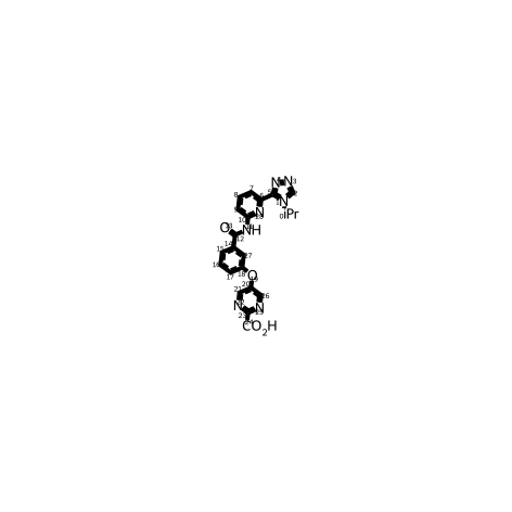 CC(C)n1cnnc1-c1cccc(NC(=O)c2cccc(Oc3cnc(C(=O)O)nc3)c2)n1